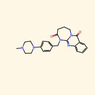 CN1CCN(c2ccc(CN3C(=O)CCCn4c3nc3ccccc3c4=O)cc2)CC1